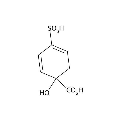 O=C(O)C1(O)C=CC(S(=O)(=O)O)=CC1